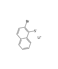 [Li+].[S-]c1c(Br)ccc2ccccc12